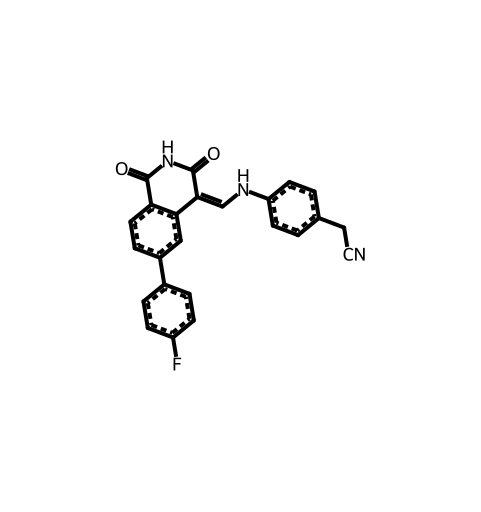 N#CCc1ccc(NC=C2C(=O)NC(=O)c3ccc(-c4ccc(F)cc4)cc32)cc1